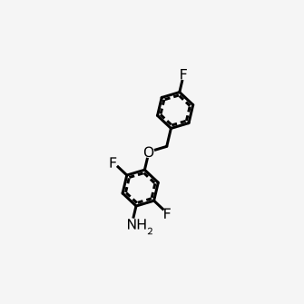 Nc1cc(F)c(OCc2ccc(F)cc2)cc1F